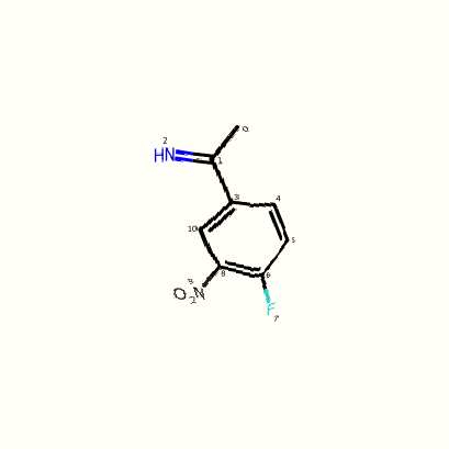 CC(=N)c1ccc(F)c([N+](=O)[O-])c1